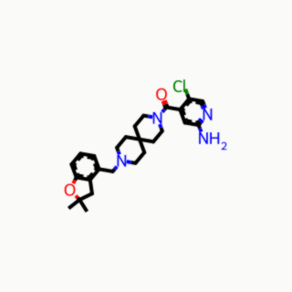 CC1(C)Cc2c(CN3CCC4(CC3)CCN(C(=O)c3cc(N)ncc3Cl)CC4)cccc2O1